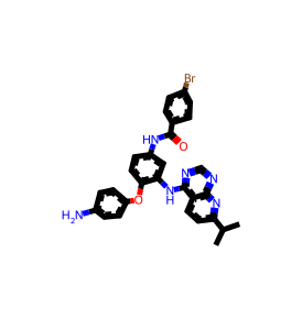 CC(C)c1ccc2c(Nc3cc(NC(=O)c4ccc(Br)cc4)ccc3Oc3ccc(N)cc3)ncnc2n1